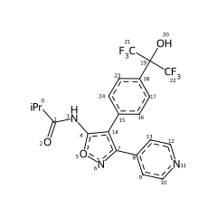 CC(C)C(=O)Nc1onc(-c2ccncc2)c1-c1ccc(C(O)(C(F)(F)F)C(F)(F)F)cc1